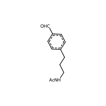 CC(=O)NCCCc1ccc(C=O)cc1